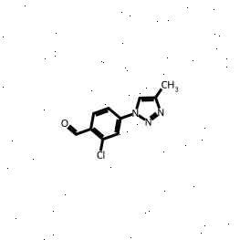 Cc1cn(-c2ccc(C=O)c(Cl)c2)nn1